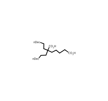 CCCCCCCCCCCCC(CCCCCCCCCCCC)(CCCCC(=O)O)C(=O)O